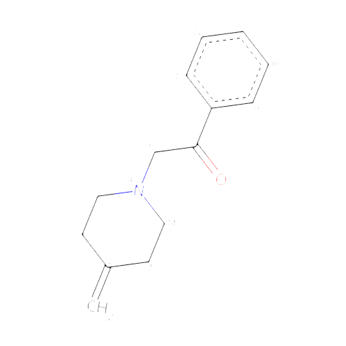 C=C1CCN(CC(=O)c2ccccc2)CC1